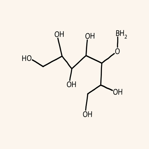 BOC(C(O)CO)C(O)C(O)C(O)CO